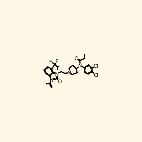 C=C(C)n1c(=O)n(CCN2CCC(N(C(=O)CC)c3ccc(Cl)c(Cl)c3)CC2)c2c(C(F)(F)F)cccc21